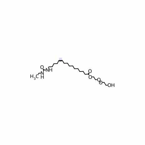 CCNC(=O)NCCCC/C=C\CCCCCCCCCC(=O)OCCOOCCO